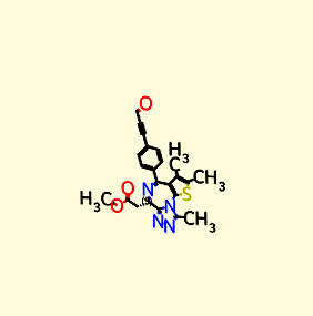 COC(=O)C[C@@H]1N=C(c2ccc(C#CC=O)cc2)c2c(sc(C)c2C)-n2c(C)nnc21